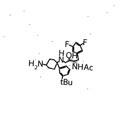 CC(=O)N[C@@H](Cc1cc(F)cc(F)c1)[C@H](O)CNC1(c2cccc(C(C)(C)C)c2)CCC(N)CC1